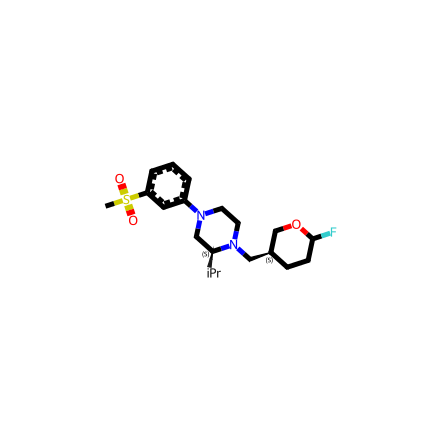 CC(C)[C@H]1CN(c2cccc(S(C)(=O)=O)c2)CCN1C[C@@H]1CCC(F)OC1